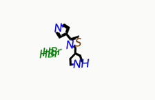 Br.Br.c1cc(-c2csc(C3CCNCC3)n2)ccn1